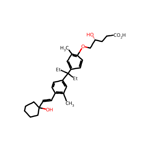 CCC(CC)(c1ccc(/C=C/C2(O)CCCCC2)c(C)c1)c1ccc(OC[C@H](O)CCC(=O)O)c(C)c1